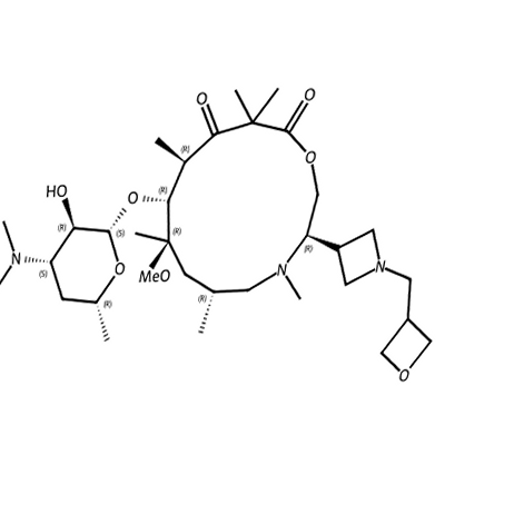 CO[C@]1(C)C[C@@H](C)CN(C)[C@H](C2CN(CC3COC3)C2)COC(=O)C(C)(C)C(=O)[C@H](C)[C@H]1O[C@@H]1O[C@H](C)C[C@H](N(C)C)[C@H]1O